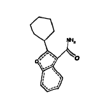 NC(=O)c1c(C2CCCCC2)oc2ccccc12